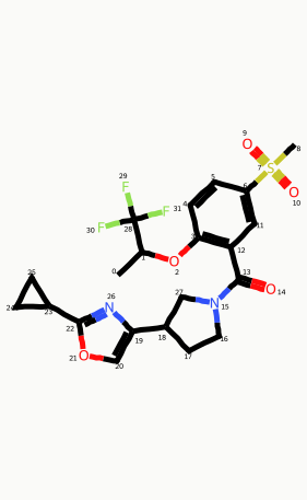 CC(Oc1ccc(S(C)(=O)=O)cc1C(=O)N1CCC(c2coc(C3CC3)n2)C1)C(F)(F)F